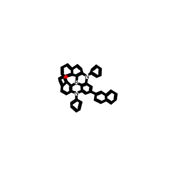 c1ccc(N2c3cc(-c4ccc5ccccc5c4)cc4c3B(c3c2ccc2ccccc32)c2c(ccc3ccccc23)N4c2ccccc2)cc1